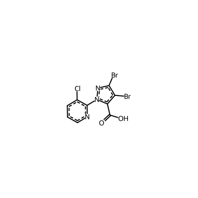 O=C(O)c1c(Br)c(Br)nn1-c1ncccc1Cl